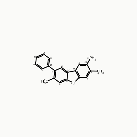 Cc1cc2oc3cc(C)c(-c4ccccc4)cc3c2cc1P